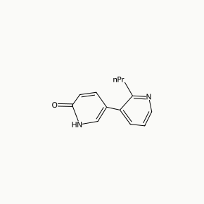 CCCc1ncccc1-c1ccc(=O)[nH]c1